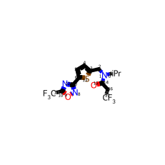 CC(C)N(Cc1ccc(-c2noc(C(F)(F)F)n2)s1)C(=O)CC(F)(F)F